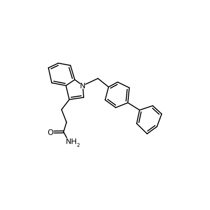 NC(=O)CCc1cn(Cc2ccc(-c3ccccc3)cc2)c2ccccc12